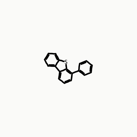 c1ccc(-c2cccc3c2sc2ccccc23)cc1